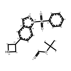 CC(C)(C)OC=O.O=S(=O)(c1ccccc1)n1ncc2cc(C3CNC3)ccc21